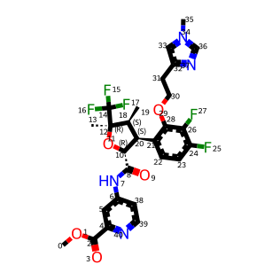 COC(=O)c1cc(NC(=O)[C@@H]2O[C@@](C)(C(F)(F)F)[C@@H](C)[C@H]2c2ccc(F)c(F)c2OCCc2cn(C)cn2)ccn1